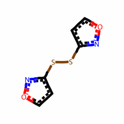 c1cc(SSc2ccon2)no1